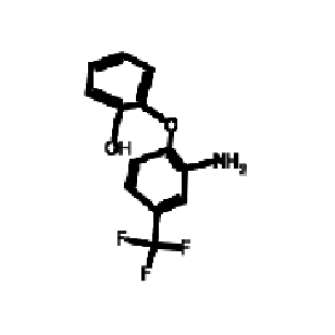 Nc1cc(C(F)(F)F)ccc1Oc1ccccc1O